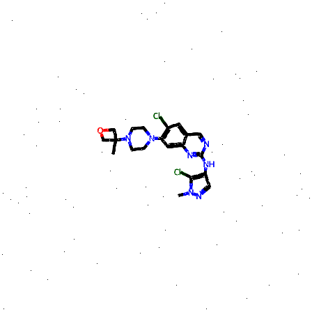 Cn1ncc(Nc2ncc3cc(Cl)c(N4CCN(C5(C)COC5)CC4)cc3n2)c1Cl